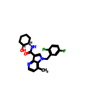 Cc1ccnc2c(C(=O)N[C@H]3CCCC[C@@H]3O)cn(Cc3cc(F)ccc3F)c12